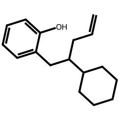 C=CCC(Cc1ccccc1O)C1CCCCC1